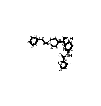 O=C(Nc1ccc2[nH]cc(C3CCN(CCc4ccccc4)CC3)c2n1)c1ccco1